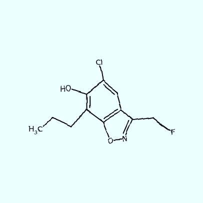 CCCc1c(O)c(Cl)cc2c(CF)noc12